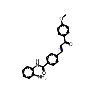 COc1ccc(C(=O)/C=C/c2ccc(C(=O)Nc3ccccc3N)cc2)cc1